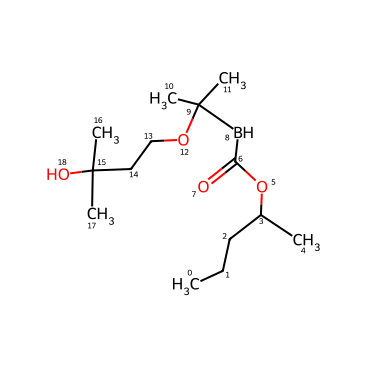 CCCC(C)OC(=O)BC(C)(C)OCCC(C)(C)O